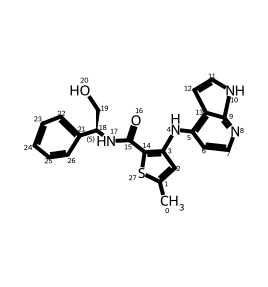 Cc1cc(Nc2ccnc3[nH]ccc23)c(C(=O)N[C@H](CO)c2ccccc2)s1